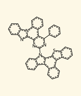 c1ccc(-c2nc(-n3c4ccccc4c4c5ccccc5c5c6ccccc6sc5c43)nc3c2c2ccccc2n2c4ccccc4nc32)cc1